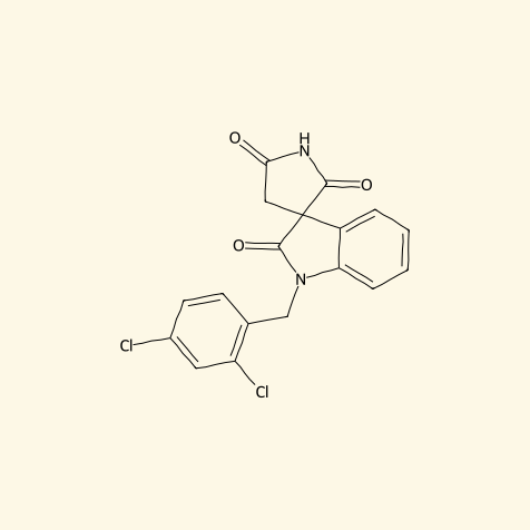 O=C1CC2(C(=O)N1)C(=O)N(Cc1ccc(Cl)cc1Cl)c1ccccc12